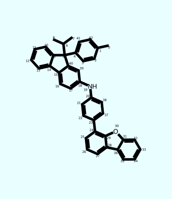 Cc1ccc(C2(C(C)C)c3ccccc3-c3ccc(Nc4ccc(-c5cccc6c5oc5ccccc56)cc4)cc32)cc1